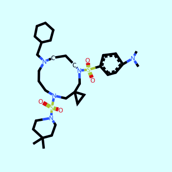 CN(C)c1ccc(S(=O)(=O)N2CCCN(CC3CCCCC3)CCCN(S(=O)(=O)N3CCC(C)(C)CC3)CC3(CC3)C2)cc1